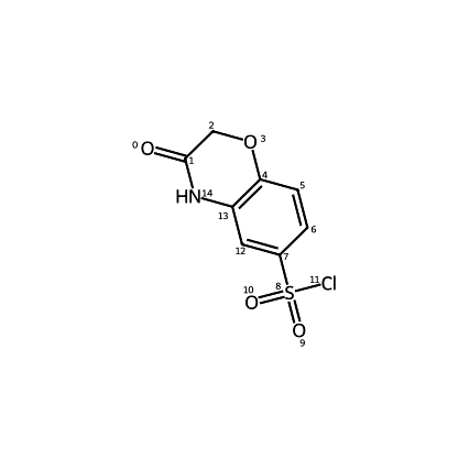 O=C1COc2ccc(S(=O)(=O)Cl)cc2N1